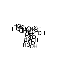 C[C@H]1O[C@@H](n2ccc(=O)[nH]c2=O)[C@](C)(N)[C@@H]1O.O=P(O)(O)O.O=P(O)(O)O.O=P(O)(O)O